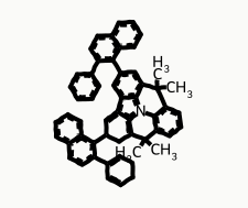 CC1(C)C2=c3c(c4cc(-c5c(-c6ccccc6)ccc6ccccc56)cc5c4n3-c3c1cccc3C5(C)C)=CC(c1c(C3=CCCC=C3)ccc3ccccc13)C2